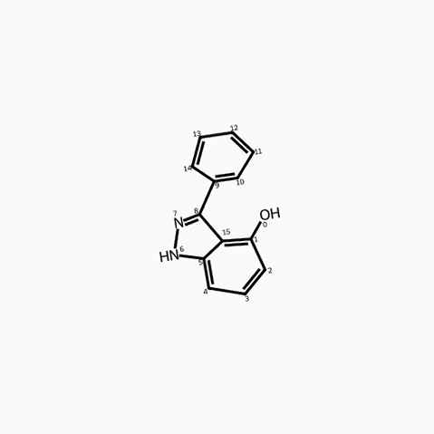 Oc1cccc2[nH]nc(-c3ccccc3)c12